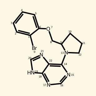 Brc1ccccc1OCC1CCCN1c1ncnc2[nH]cnc12